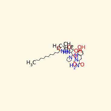 CCCCCCCCCCCC(=O)N[C@H](C(=O)N[C@H](C(=O)N1CCC[C@H]1C(=O)N[C@@H](Cc1ccc(O)cc1)C(N)=O)[C@@H](C)O)C(C)C